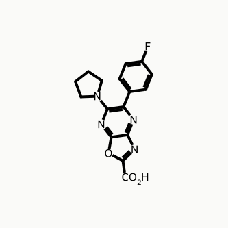 O=C(O)c1nc2nc(-c3ccc(F)cc3)c(N3CCCC3)nc2o1